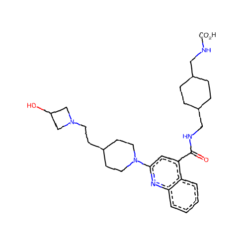 O=C(O)NCC1CCC(CNC(=O)c2cc(N3CCC(CCN4CC(O)C4)CC3)nc3ccccc23)CC1